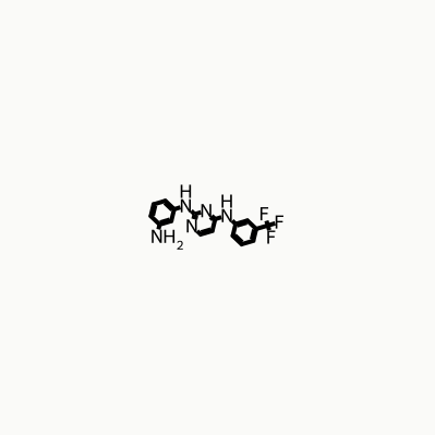 Nc1cccc(Nc2nccc(Nc3cccc(C(F)(F)F)c3)n2)c1